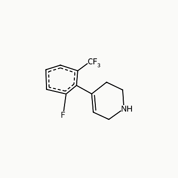 Fc1cccc(C(F)(F)F)c1C1=CCNCC1